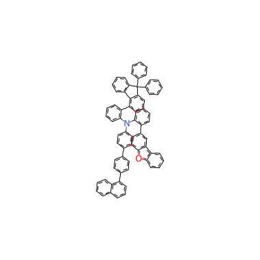 c1ccc(C2(c3ccccc3)c3ccccc3-c3c(-c4ccccc4N(c4ccc(-c5ccc(-c6cccc7ccccc67)cc5)cc4)c4ccccc4-c4ccc5oc6ccccc6c5c4)cccc32)cc1